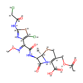 CON=C(C(=O)N[C@@H]1C(=O)N2C(C(=O)O)=C(COC(C)=O)CS[C@H]12)c1nc(NC(=O)CCl)sc1Cl